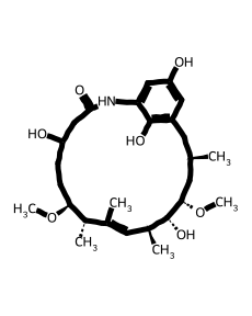 CO[C@H]1C[C@H](C)Cc2cc(O)cc(c2O)NC(=O)CC(O)CC[C@H](OC)[C@@H](C)/C(C)=C/[C@H](C)[C@H]1O